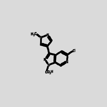 Cn1cc(-c2nn(C(=O)O)c3cnc(Cl)cc23)cn1